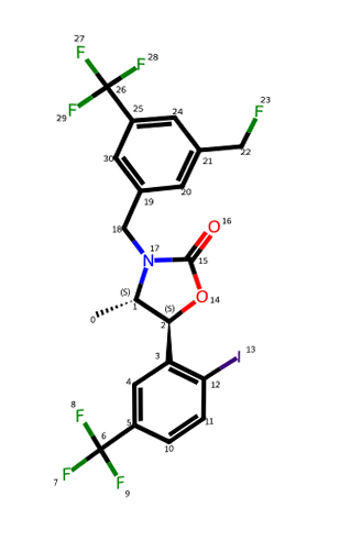 C[C@H]1[C@H](c2cc(C(F)(F)F)ccc2I)OC(=O)N1Cc1cc(CF)cc(C(F)(F)F)c1